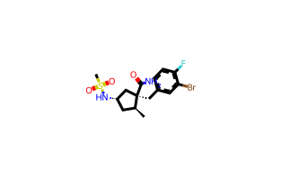 C[C@H]1C[C@H](NS(C)(=O)=O)C[C@@]1(Cc1ccc(F)c(Br)c1)C(N)=O